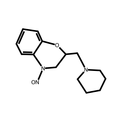 O=NN1CC(CN2CCCCC2)Oc2ccccc21